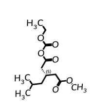 CCOC(=O)OC(=O)C[C@H](CC(=O)OC)CC(C)C